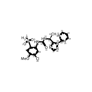 COc1cc(S(C)(=O)=O)c(NC(=O)N[C@@H](C)c2ncnn2-c2ncccn2)cc1Cl